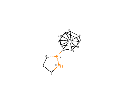 C1CPP([C]23[CH]4[CH]5[CH]6[CH]2[Fe]56432789[CH]3[CH]2[CH]7[CH]8[CH]39)C1